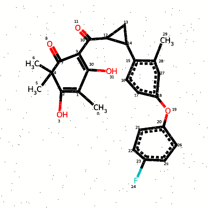 CC1=C(O)C(C)(C)C(=O)C(C(=O)C2CC2c2ccc(Oc3ccc(F)cc3)cc2C)=C1O